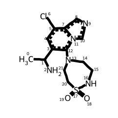 CC(N)c1cc(Cl)c2cncn2c1N1CCNS(=O)(=O)CC1